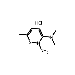 CC1=CC=C(N(C)C)N(N)S1.Cl